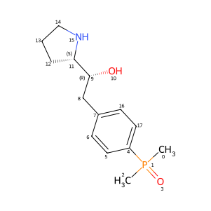 CP(C)(=O)c1ccc(C[C@@H](O)[C@@H]2CCCN2)cc1